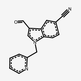 N#Cc1ccc2c(c1)c(C=O)cn2Cc1ccccn1